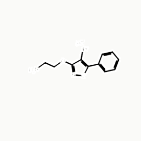 CC(C)c1c(OCCN)noc1-c1ccccc1.Cl